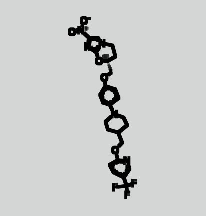 O=[N+]([O-])c1cn2c(n1)O[C@@H](COc1ccc(N3CCC(COc4ccc(C(F)(F)F)cn4)CC3)cc1)CC2